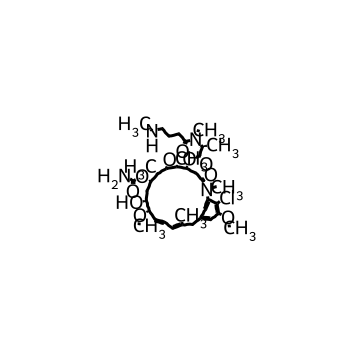 CNCCCC(=O)N(C)[C@@H](C)C(=O)O[C@H]1CC(=O)N(C)c2cc(cc(OC)c2Cl)C/C(C)=C/C=C/[C@@H](OC)[C@@H](O)C[C@H](OC(N)=O)[C@@H](C)C2O[C@]21C